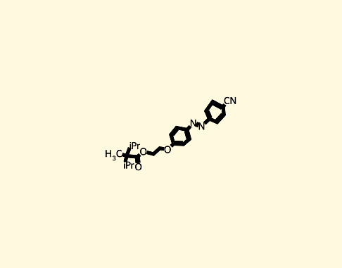 CC(C)C(C)(C(=O)OCCOc1ccc(/N=N/c2ccc(C#N)cc2)cc1)C(C)C